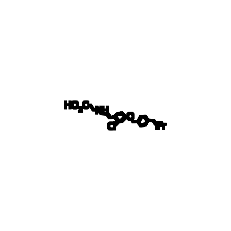 CC(C)Cc1ccc(COc2ccc(C=CCNCCC(=O)O)c(Cl)c2)cc1